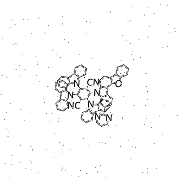 N#Cc1c(-n2c3ccccc3c3ccccc32)c(-n2c3ccccc3c3ccccc32)c(C#N)c(-n2c3cc(-c4ncccn4)ccc3c3c4oc5ccccc5c4ccc32)c1-n1c2ccccc2c2ccccc21